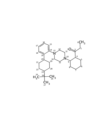 CCC(=O)C1CCCCC1N1CCN(c2ccccc2C2CCC(C(C)(C)C)CC2)CC1